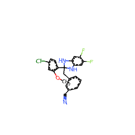 COc1cc(Cl)ccc1C1(Cc2cccc(C#N)c2)Nc2cc(F)c(F)cc2N1